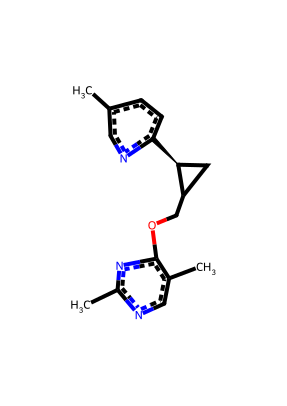 Cc1ccc([C@H]2CC2COc2nc(C)ncc2C)nc1